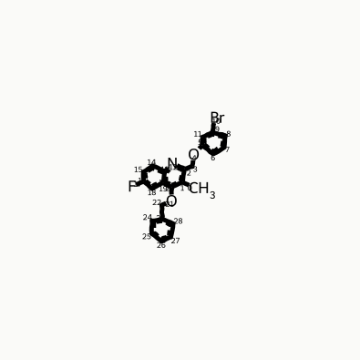 Cc1c(COc2cccc(Br)c2)nc2ccc(F)cc2c1OCc1ccccc1